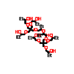 CCC(O)COCC(COCC(O)CC)(COCC(O)CC)COCC(CC)OC(CC)COCC(COCC(O)CC)(COCC(O)CC)COCC(O)CC